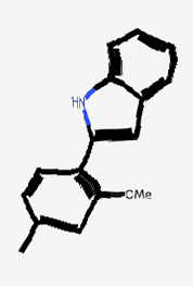 COc1cc(C)ccc1-c1cc2ccccc2[nH]1